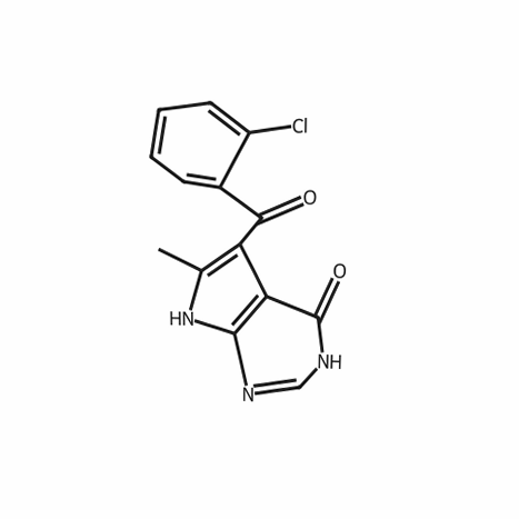 Cc1[nH]c2nc[nH]c(=O)c2c1C(=O)c1ccccc1Cl